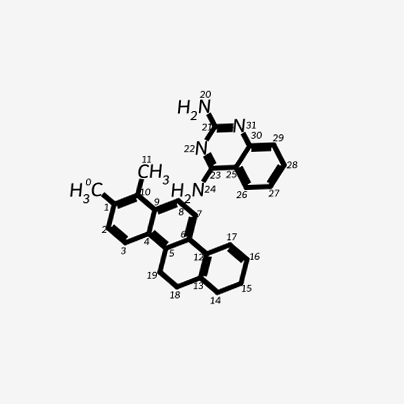 Cc1ccc2c3c(ccc2c1C)C1=C(CCC=C1)CC3.Nc1nc(N)c2ccccc2n1